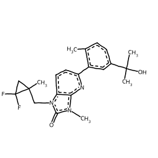 Cc1ccc(C(C)(C)O)cc1-c1ccc2c(n1)n(C)c(=O)n2CC1(C)CC1(F)F